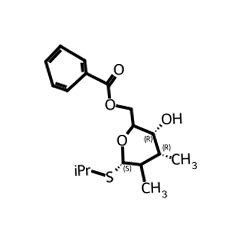 CC(C)S[C@@H]1OC(COC(=O)c2ccccc2)[C@H](O)[C@H](C)C1C